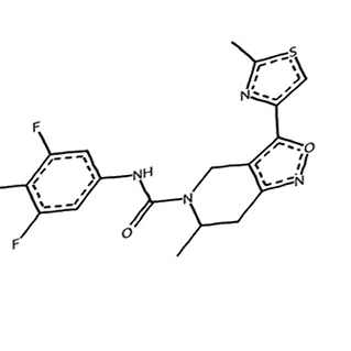 Cc1nc(-c2onc3c2CN(C(=O)Nc2cc(F)c(F)c(F)c2)C(C)C3)cs1